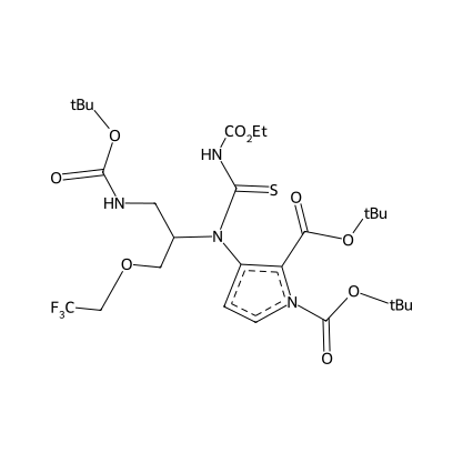 CCOC(=O)NC(=S)N(c1ccn(C(=O)OC(C)(C)C)c1C(=O)OC(C)(C)C)C(CNC(=O)OC(C)(C)C)COCC(F)(F)F